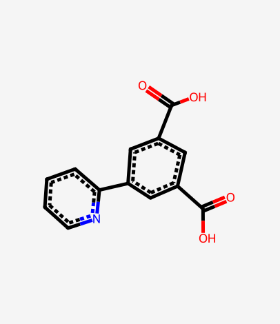 O=C(O)c1cc(C(=O)O)cc(-c2ccccn2)c1